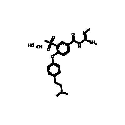 CN=C(N)NC(=O)c1ccc(Oc2ccc(CCN(C)C)cc2)c(S(C)(=O)=O)c1.Cl.Cl